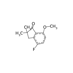 COc1ccc(F)c2c1C(=O)C(C)(C)C2